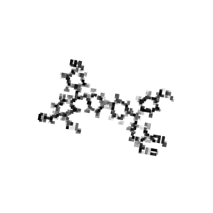 Cc1ccc(N(c2ccc(-c3ccc(N(c4ccc(C)cc4)c4ccc(C=O)c(C)c4)cc3)cc2)c2ccc(C=O)c(C)c2)cc1